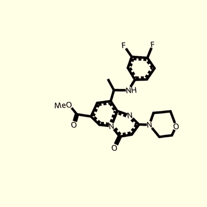 COC(=O)c1cc(C(C)Nc2ccc(F)c(F)c2)c2nc(N3CCOCC3)cc(=O)n2c1